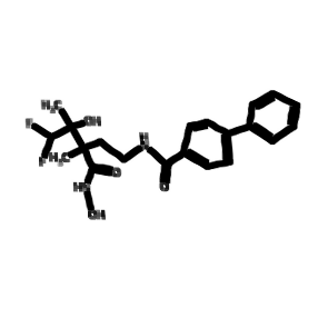 CC(CCNC(=O)c1ccc(-c2ccccc2)cc1)(C(=O)NO)C(C)(O)C(F)F